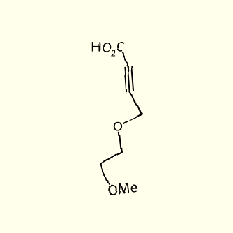 COCCOCC#CC(=O)O